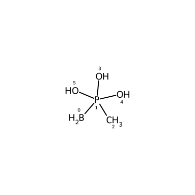 BP(C)(O)(O)O